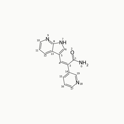 NC(=O)/C(=C\c1c[nH]c2ncccc12)c1cccnc1